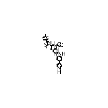 Cc1ccc(-c2nc(-c3cc4cnc(Nc5ccc(C6=CCNCC6)cc5)nc4n(C4CCOC4)c3=O)c(C)s2)s1